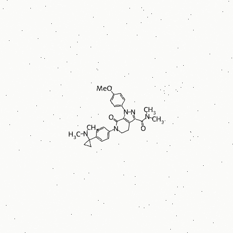 COc1ccc(-n2nc(C(=O)N(C)C)c3c2C(=O)N(c2ccc(C4(N(C)C)CC4)cc2)CC3)cc1